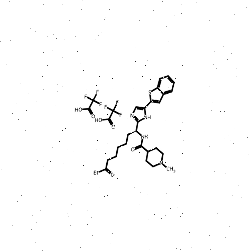 CCC(=O)CCCCC[C@H](NC(=O)C1CCN(C)CC1)c1ncc(-c2cc3ccccc3s2)[nH]1.O=C(O)C(F)(F)F.O=C(O)C(F)(F)F